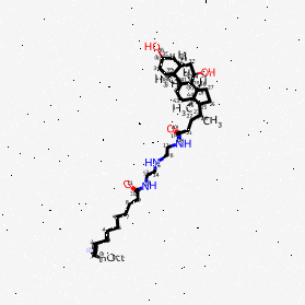 CCCCCCCC/C=C\CCCCCCCC(=O)NCCNCCNC(=O)CC[C@@H](C)C1CC[C@H]2[C@@H]3[C@H](O)C[C@@H]4C[C@H](O)CC[C@]4(C)[C@H]3CC[C@]12C